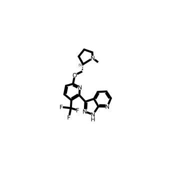 CN1CCC[C@H]1COc1ccc(C(F)(F)F)c(-c2n[nH]c3ncccc23)n1